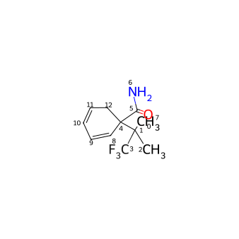 CC(C)(C(F)(F)F)C1(C(N)=O)C=CC=CC1